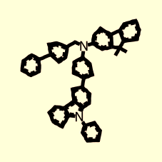 CC1(C)c2ccccc2-c2ccc(N(Cc3ccc(-c4ccccc4)cc3)c3ccc(-c4ccc5c(c4)c4ccccc4n5-c4ccccc4)cc3)cc21